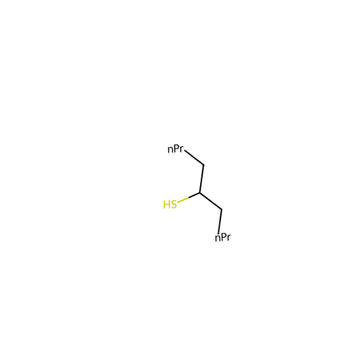 [CH2]CCCC(S)CCCC